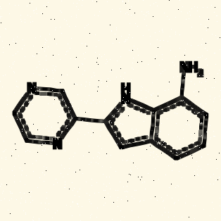 Nc1cccc2cc(-c3cnccn3)[nH]c12